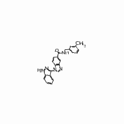 Cc1cccc(CNC(=O)c2ccc3c(c2)ncn3-c2n[nH]c3ccccc23)c1